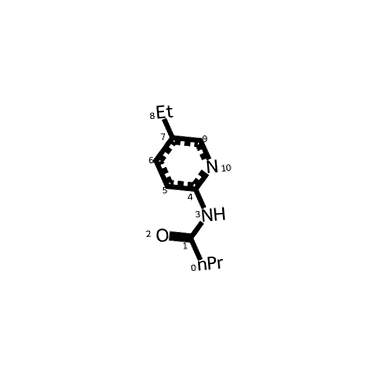 CCCC(=O)Nc1ccc(CC)cn1